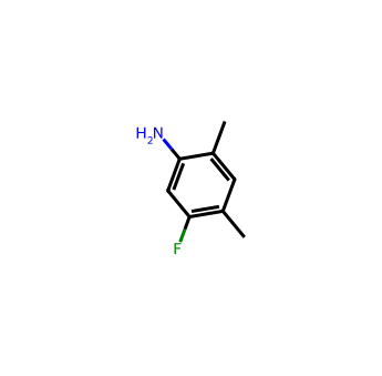 Cc1cc(C)c(F)cc1N